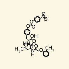 Cc1ccccc1OCC(=O)N[C@@H](CC(C)C)C(=O)N[C@@H](Cc1ccc(OC(=O)Oc2ccc([N+](=O)[O-])cc2)cc1)C(=O)O